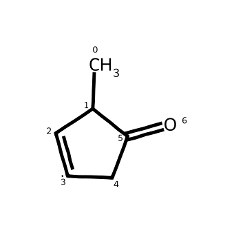 CC1C=[C]CC1=O